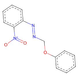 O=[N+]([O-])c1ccccc1N=NCOc1ccccc1